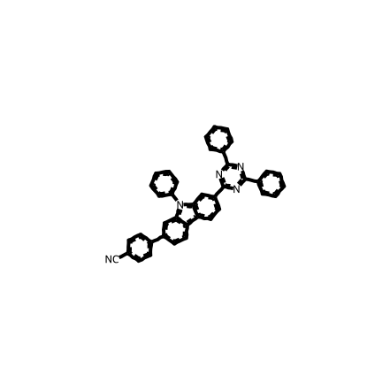 N#Cc1ccc(-c2ccc3c4ccc(-c5nc(-c6ccccc6)nc(-c6ccccc6)n5)cc4n(-c4ccccc4)c3c2)cc1